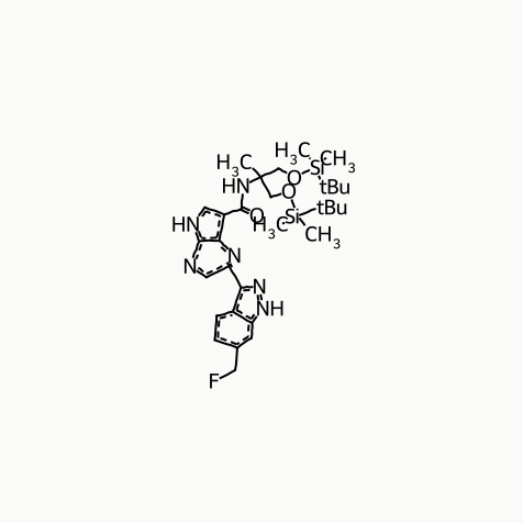 CC(CO[Si](C)(C)C(C)(C)C)(CO[Si](C)(C)C(C)(C)C)NC(=O)c1c[nH]c2ncc(-c3n[nH]c4cc(CF)ccc34)nc12